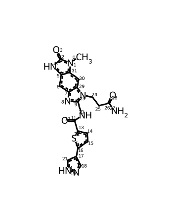 Cn1c(=O)[nH]c2cc3nc(NC(=O)c4ccc(-c5cn[nH]c5)s4)n(CCC(N)=O)c3cc21